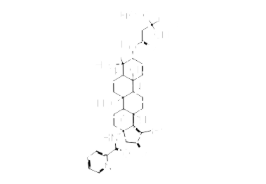 CC(C)C1=C2[C@H]3CC[C@@H]4[C@@]5(C)CC[C@H](OC(=O)CC(C)(C)C(=O)O)C(C)(C)[C@@H]5CC[C@@]4(C)[C@]3(C)CC[C@@]2(NC(=O)c2ccccn2)CC1=O